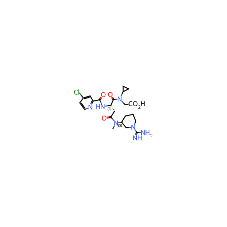 CN(C(=O)C[C@H](NC(=O)c1cc(Cl)ccn1)C(=O)N(CC(=O)O)C1CC1)[C@H]1CCCN(C(=N)N)C1